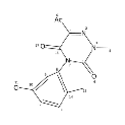 CC(=O)c1nn(C)c(=O)n(-c2cc(Cl)ccc2C)c1=O